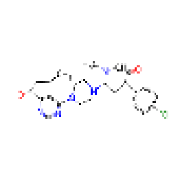 C[C@@H]1C[C@@H](O)c2ncnc(N3CCN(C(CC(C=O)c4ccc(Cl)cc4)N(C)C)CC3)c21